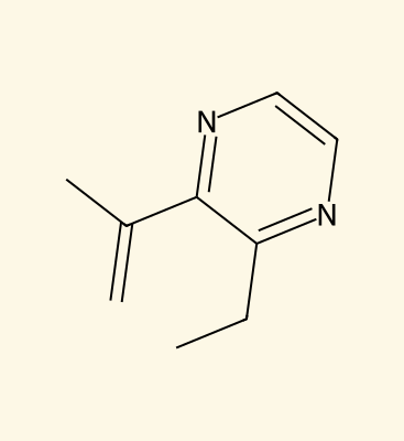 C=C(C)c1nccnc1CC